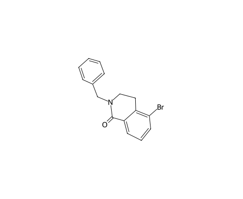 O=C1c2cccc(Br)c2CCN1Cc1ccccc1